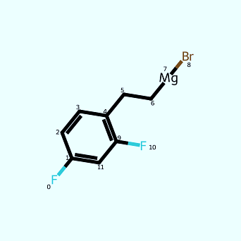 Fc1ccc(C[CH2][Mg][Br])c(F)c1